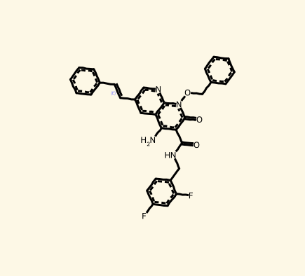 Nc1c(C(=O)NCc2ccc(F)cc2F)c(=O)n(OCc2ccccc2)c2ncc(/C=C/c3ccccc3)cc12